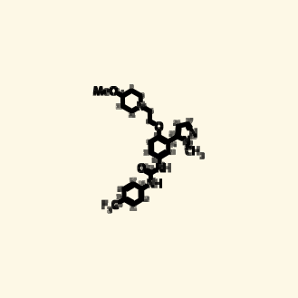 COC1CCN(CCOc2ccc(NC(=O)Nc3ccc(C(F)(F)F)cc3)cc2-c2ccnn2C)CC1